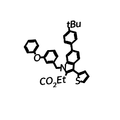 CCOC(=O)c1c(-c2cccs2)c2ccc(-c3ccc(C(C)(C)C)cc3)cc2n1Cc1cccc(Oc2ccccc2)c1